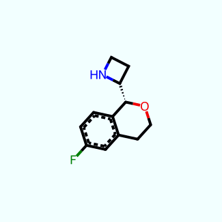 Fc1ccc2c(c1)CCO[C@H]2C1CCN1